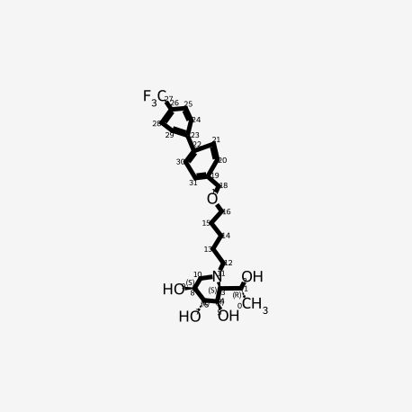 C[C@@H](O)[C@H]1[C@@H](O)[C@H](O)[C@@H](O)CN1CCCCCOCc1ccc(-c2ccc(C(F)(F)F)cc2)cc1